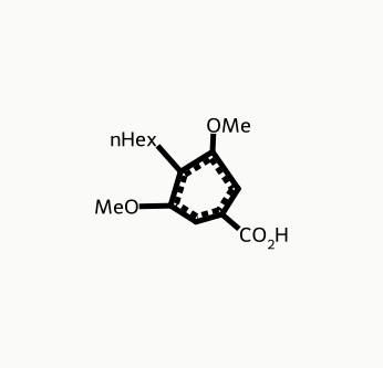 CCCCCCc1c(OC)cc(C(=O)O)cc1OC